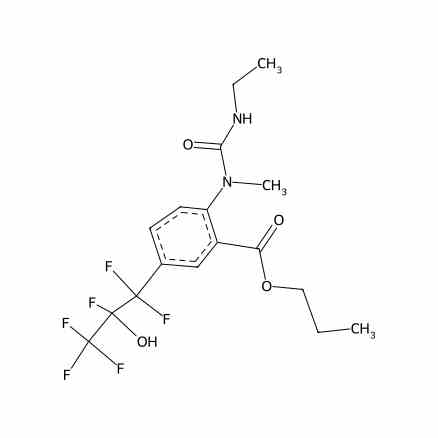 CCCOC(=O)c1cc(C(F)(F)C(O)(F)C(F)(F)F)ccc1N(C)C(=O)NCC